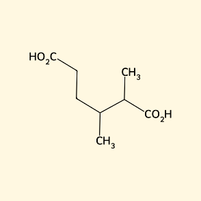 CC(CCC(=O)O)C(C)C(=O)O